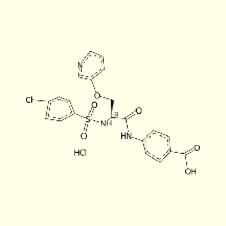 Cl.O=C(O)c1ccc(NC(=O)[C@H](COc2cccnc2)NS(=O)(=O)c2ccc(Cl)cc2)cc1